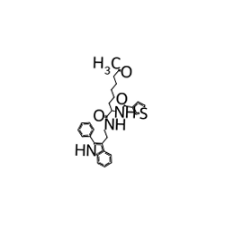 CC(=O)CCCCCC(NC(=O)c1ccsc1)C(=O)NCCc1c(-c2ccccc2)[nH]c2ccccc12